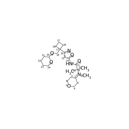 CN(C1CCOCC1)C(C)(C)C(=O)Nc1cc(C2(COC3CCCCO3)CCC2)no1